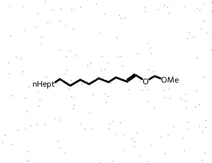 CCCCCCCCCCCCCCC=COCOC